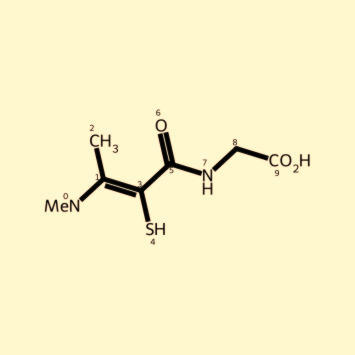 CN/C(C)=C(\S)C(=O)NCC(=O)O